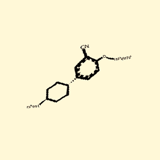 CCCCCOc1ccc([C@H]2CC[C@H](CCCCC)CC2)cc1C#N